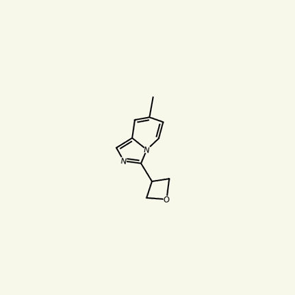 Cc1ccn2c(C3COC3)ncc2c1